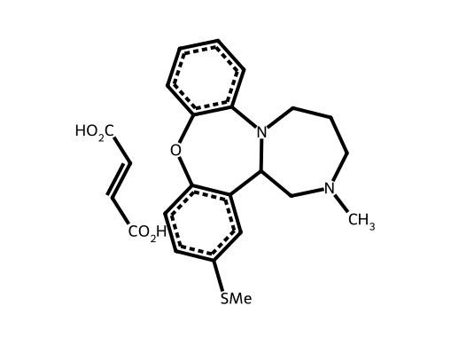 CSc1ccc2c(c1)C1CN(C)CCCN1c1ccccc1O2.O=C(O)C=CC(=O)O